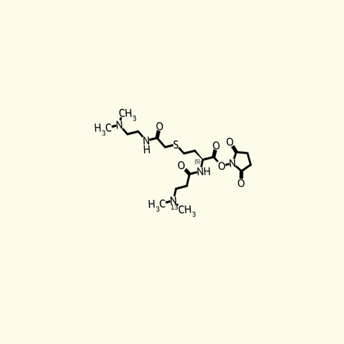 CN(C)CCNC(=O)CSCC[C@H](NC(=O)CCN(C)[13CH3])C(=O)ON1C(=O)CCC1=O